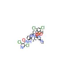 C[C@]1(C(=O)N[C@@H](Cc2ccc(NC(=O)c3c(Cl)cncc3Cl)cc2)C(=O)O)C[C@@H](N2CCC2)CN1S(=O)(=O)c1cc(Cl)cc(Cl)c1